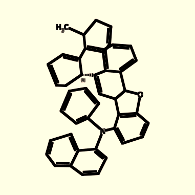 CC1CC=CC=C1C1=CC=CC[C@H]1C1=CC2c3c(cccc3N(c3ccccc3)c3cccc4ccccc34)OC2c2ccccc21